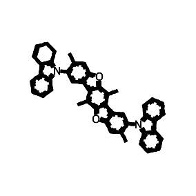 Cc1cc2oc3c(C)c4c(oc5cc(C)c(-n6c7ccccc7c7ccccc76)cc54)c(C)c3c2cc1-n1c2c(c3ccccc31)C=CCC2